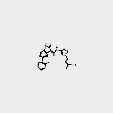 C/C(Nc1cnn(CCC(C)O)c1)=C1/C(=O)Nc2cnc(-c3cnccc3C)cc21